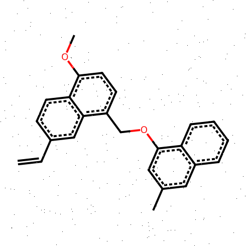 C=Cc1ccc2c(OC)ccc(COc3cc(C)cc4ccccc34)c2c1